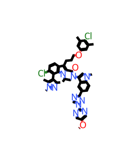 COc1cnc(-n2cnc(-c3ccc4c(c3)c(N3CC(C)n5c(c(CCCOc6cc(C)c(Cl)c(C)c6)c6ccc(Cl)c(-c7c(C)nn(C)c7C)c65)C3=O)cn4C)n2)nc1